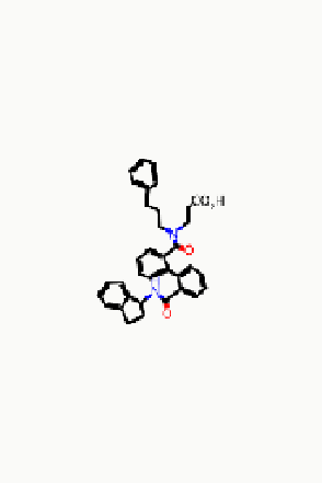 O=C(O)CCN(CCCc1ccccc1)C(=O)c1ccccc1-c1ccccc1C(=O)NC1CCc2ccccc21